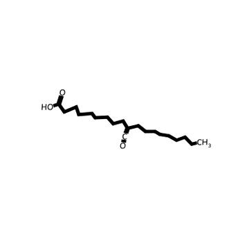 CCCCCCCCCC(=C=O)CCCCCCCCC(=O)O